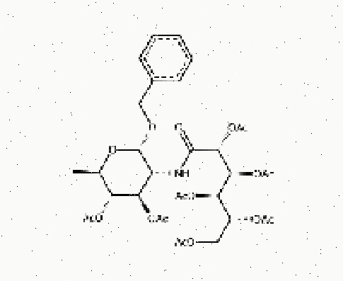 [CH2][C@H]1O[C@H](OCc2ccccc2)[C@H](NC(=O)[C@H](OC(C)=O)[C@@H](OC(C)=O)[C@H](OC(C)=O)[C@@H](COC(C)=O)OC(C)=O)[C@@H](OC(C)=O)[C@@H]1OC(C)=O